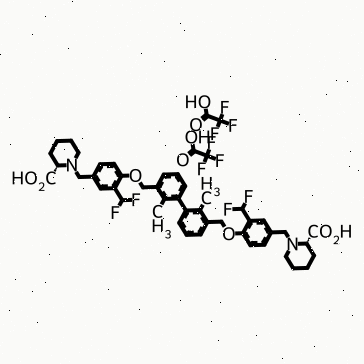 Cc1c(COc2ccc(CN3CCCC[C@H]3C(=O)O)cc2C(F)F)cccc1-c1cccc(COc2ccc(CN3CCCC[C@H]3C(=O)O)cc2C(F)F)c1C.O=C(O)C(F)(F)F.O=C(O)C(F)(F)F